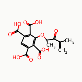 C=C(C)C(=O)C(C)Oc1c(C(=O)O)c(C(=O)O)cc(C(=O)O)c1C(=O)O